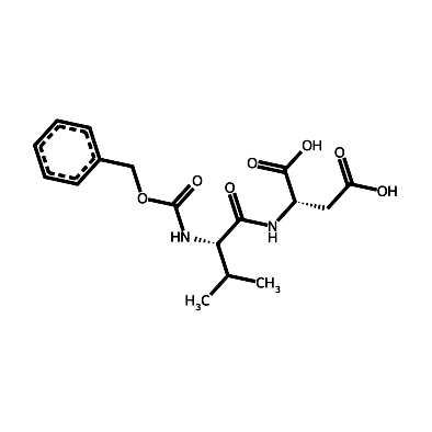 CC(C)[C@H](NC(=O)OCc1ccccc1)C(=O)N[C@@H](CC(=O)O)C(=O)O